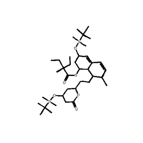 CCC(C)(CC)C(=O)OC1CC(O[Si](C)(C)C(C)(C)C)C=C2C=CC(C)C(CCC3CC(O[Si](C)(C)C(C)(C)C)CC(=O)O3)C21